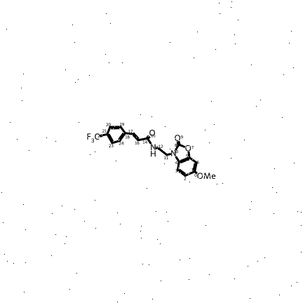 COc1ccc2c(c1)oc(=O)n2CCNC(=O)/C=C/c1ccc(C(F)(F)F)cc1